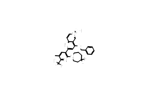 Cc1cc(-c2cc(OCc3ccccc3)c3c[n+](O)ccc3n2)c(N2CCCC(F)(F)CC2)nc1C(F)(F)F